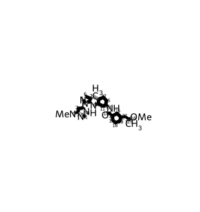 CNc1cc(-n2nccc2Nc2cc(NC(=O)c3cccc(CC(C)OC)c3)ccc2C)ncn1